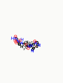 CC(C)(CCNc1cccc2c1C(=O)N(C1CCC(=O)NC1=O)C2=O)OCC(C)(C)C(=O)N1CCN(c2ccc(-n3c(=O)ccc4cnc5ccc(-c6ccc7ccncc7c6)cc5c43)cc2C(F)(F)F)CC1